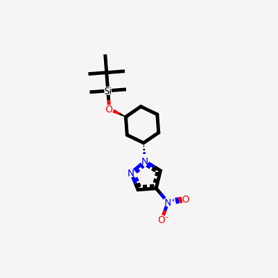 CC(C)(C)[Si](C)(C)O[C@H]1CCC[C@H](n2cc([N+](=O)[O-])cn2)C1